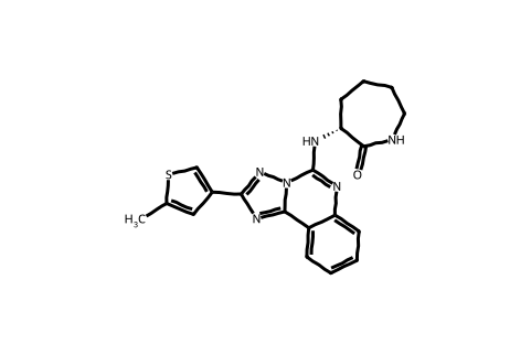 Cc1cc(-c2nc3c4ccccc4nc(N[C@@H]4CCCCNC4=O)n3n2)cs1